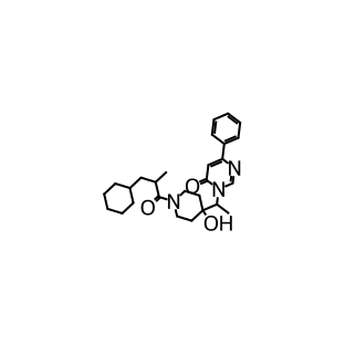 CC(CC1CCCCC1)C(=O)N1CCC(O)(C(C)n2cnc(-c3ccccc3)cc2=O)CC1